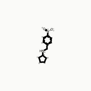 O=[N+]([O-])c1ccc(CNC2CCCC2)cc1